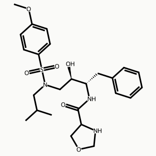 COc1ccc(S(=O)(=O)N(CC(C)C)C[C@@H](O)[C@H](Cc2ccccc2)NC(=O)C2COCN2)cc1